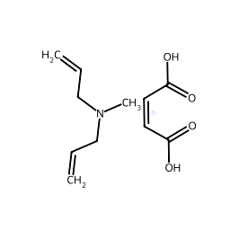 C=CCN(C)CC=C.O=C(O)/C=C\C(=O)O